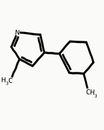 Cc1cncc(C2=CC(C)CCC2)c1